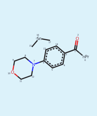 CCCC(=O)c1ccc(N2CCOCC2)cc1.[CH3][Sn][CH3]